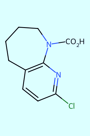 O=C(O)N1CCCCc2ccc(Cl)nc21